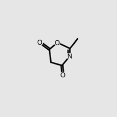 CC1=NC(=O)CC(=O)O1